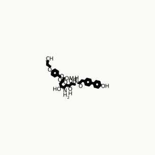 C#CCCOc1ccc(CO[C@]2(C(=O)OC)C[C@H](O)[C@@H](N)[C@H]([C@H](O)[C@H](O)CNC(=O)Cc3ccc(-c4ccc(O)cc4)cc3)O2)cc1